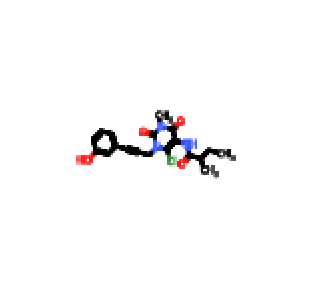 CCC(C)C(=O)Nc1c(Cl)n(CC#Cc2cccc(O)c2)c(=O)n(C)c1=O